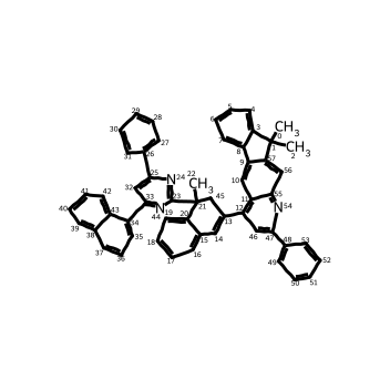 CC1(C)c2ccccc2-c2cc3c(C4=Cc5ccccc5C(C)(c5nc(-c6ccccc6)cc(-c6cccc7ccccc67)n5)C4)cc(-c4ccccc4)nc3cc21